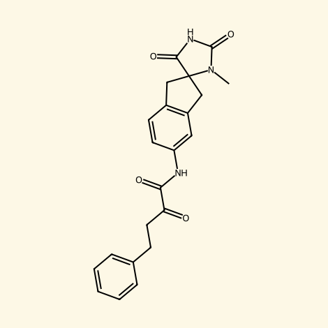 CN1C(=O)NC(=O)C12Cc1ccc(NC(=O)C(=O)CCc3ccccc3)cc1C2